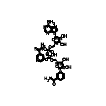 NC(=O)C1=CN([C@@H]2O[C@H](COP(=O)(O)OP(=O)(O)OC[C@H]3O[C@@H](n4cnc5c(N)ncnc54)[C@H](O)[C@@H]3O)[C@@H](O)[C@H]2O)C=CC1.NC(=S)c1cccnc1